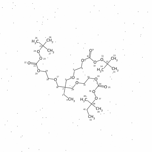 CCC(COCCOC(=O)OOC(C)(C)C)(COCCOC(=O)OOC(C)(C)C)COCCOC(=O)OOC(C)(C)CC